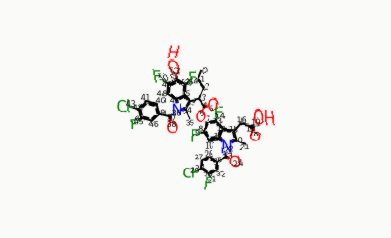 CCCC(C(=O)Oc1c(F)cc2c(c1F)c(CC(=O)O)c(C)n2C(=O)c1ccc(Cl)c(F)c1)c1c(C)n(C(=O)c2ccc(Cl)c(F)c2)c2cc(F)c(O)c(F)c12